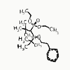 CCOP(=O)(OCC)C(N(OCCc1ccccc1)C(C)(C)C)C(C)(C)C